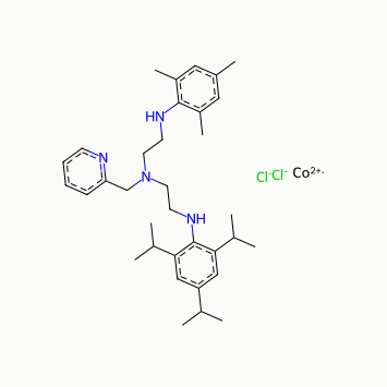 Cc1cc(C)c(NCCN(CCNc2c(C(C)C)cc(C(C)C)cc2C(C)C)Cc2ccccn2)c(C)c1.[Cl-].[Cl-].[Co+2]